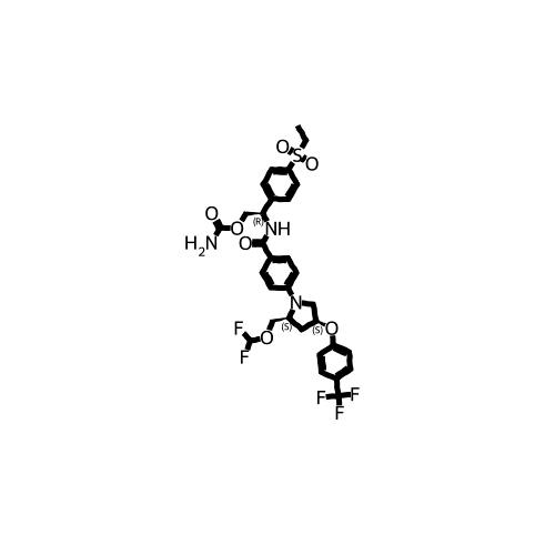 CCS(=O)(=O)c1ccc([C@H](COC(N)=O)NC(=O)c2ccc(N3C[C@@H](Oc4ccc(C(F)(F)F)cc4)C[C@H]3COC(F)F)cc2)cc1